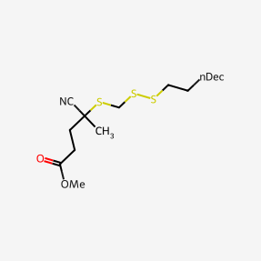 CCCCCCCCCCCCSSCSC(C)(C#N)CCC(=O)OC